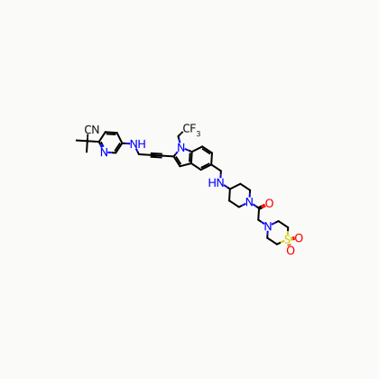 CC(C)(C#N)c1ccc(NCC#Cc2cc3cc(CNC4CCN(C(=O)CN5CCS(=O)(=O)CC5)CC4)ccc3n2CC(F)(F)F)cn1